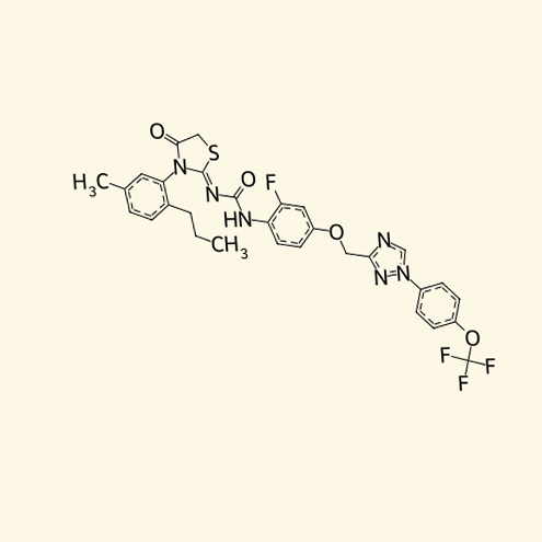 CCCc1ccc(C)cc1N1C(=O)CSC1=NC(=O)Nc1ccc(OCc2ncn(-c3ccc(OC(F)(F)F)cc3)n2)cc1F